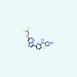 FC(F)COc1cnn2c(-c3cccc(N[C@H]4CNC[C@@H]4F)n3)cnc2c1